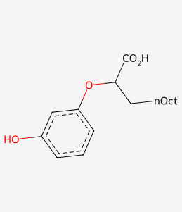 CCCCCCCCCC(Oc1cccc(O)c1)C(=O)O